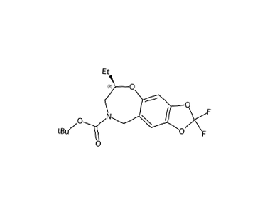 CC[C@@H]1CN(C(=O)OC(C)(C)C)Cc2cc3c(cc2O1)OC(F)(F)O3